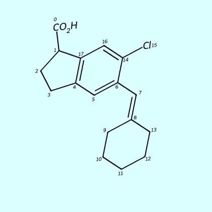 O=C(O)C1CCc2cc(C=C3CCCCC3)c(Cl)cc21